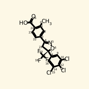 Cc1cc(C2=NO[C@@](c3cc(Cl)c(Cl)c(Cl)c3)(C(F)(F)F)C2)ccc1C(=O)O